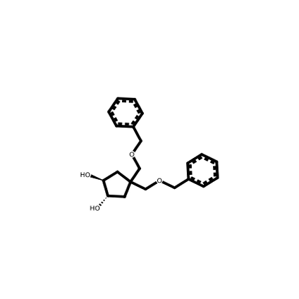 O[C@H]1CC(COCc2ccccc2)(COCc2ccccc2)C[C@@H]1O